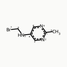 Cc1ncc(NCBr)cn1